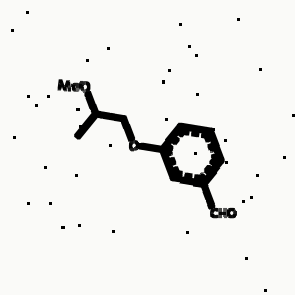 COC(C)COc1cccc(C=O)c1